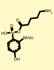 CC(=O)Nc1cc(O)ccc1[As](=O)(O)OC(=O)CCCCN